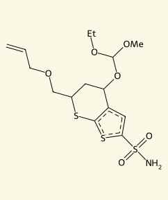 C=CCOCC1CC(OC(OC)OCC)c2cc(S(N)(=O)=O)sc2S1